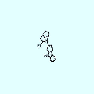 CCC1CC2CCC(C2)N1c1ccc2c(c1)[nH]c1ccccc12